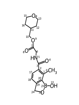 Cc1c(C(=O)NCC(=O)OCC2CCOCC2)ccc2c1B(O)OC2